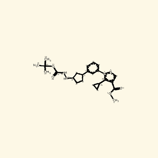 COC(=O)c1cnn(-c2cccc(C3CCC(NNC(=O)OC(C)(C)C)C3)c2)c1C1CC1